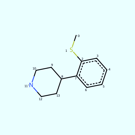 CSc1ccccc1C1CC[N]CC1